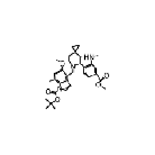 CNc1cc(C(=O)OC)ccc1C1CC2(CCN1Cc1c(OC)cc(C)c3c1ccn3C(=O)OC(C)(C)C)CC2